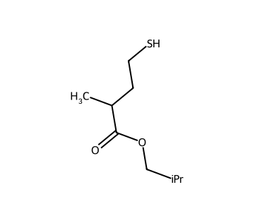 CC(C)COC(=O)C(C)CCS